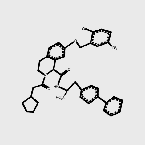 O=C(N[C@@H](Cc1ccc(-c2ccccc2)cc1)C(=O)O)C1c2cc(OCc3cc(C(F)(F)F)ccc3Cl)ccc2CCN1C(=O)CC1CCCC1